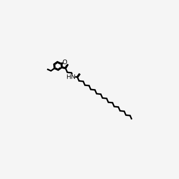 C=C(CCCCCCCCCCCCCCCCCCC)NCCc1coc2ccc(CC)cc12